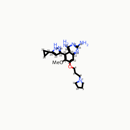 COc1c(OCCCN2CCCC2)cc2nc(N)nc(N)c2c1-c1cc(C2CC2)[nH]n1